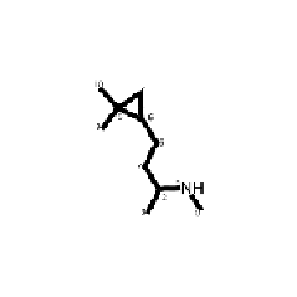 CNC(C)CCC1CC1(C)C